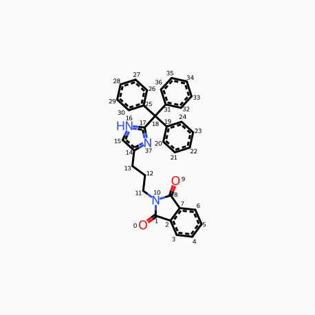 O=C1c2ccccc2C(=O)N1CCCc1c[nH]c(C(c2ccccc2)(c2ccccc2)c2ccccc2)n1